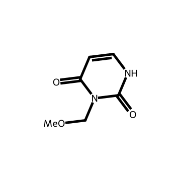 COCn1c(=O)cc[nH]c1=O